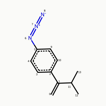 C=C(c1ccc(N=[N+]=[N-])cc1)C(C)C